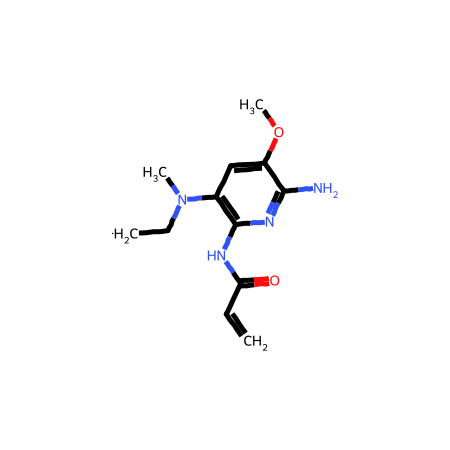 [CH2]CN(C)c1cc(OC)c(N)nc1NC(=O)C=C